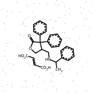 CC(NCC1COC(=O)C1(c1ccccc1)c1ccccc1)c1ccccc1.O=C(O)C=CC(=O)O